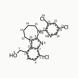 OCc1ccc(Cl)c2nc3n(c12)CCCCN3c1ncc(Cl)cc1Cl